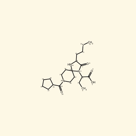 CCC(C(=O)O)N1C(=O)C(CCSC)NC12CCN(C(=O)C1CCCC1)CC2